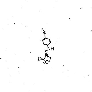 N#Cc1ccc(NSN2CCOC2=O)cc1